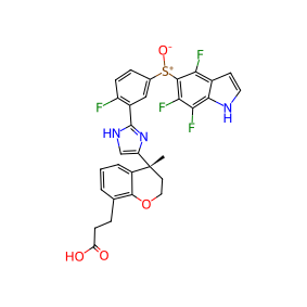 C[C@@]1(c2c[nH]c(-c3cc([S+]([O-])c4c(F)c(F)c5[nH]ccc5c4F)ccc3F)n2)CCOc2c(CCC(=O)O)cccc21